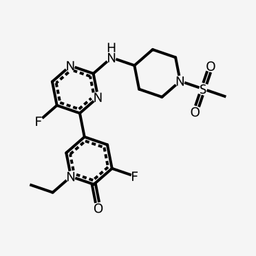 CCn1cc(-c2nc(NC3CCN(S(C)(=O)=O)CC3)ncc2F)cc(F)c1=O